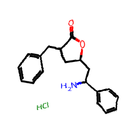 Cl.NC(CC1CC(Cc2ccccc2)C(=O)O1)c1ccccc1